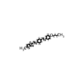 CCCCOc1ccc(N=Nc2ccc(N=Nc3nc4sc(C)cc4s3)cc2)cc1